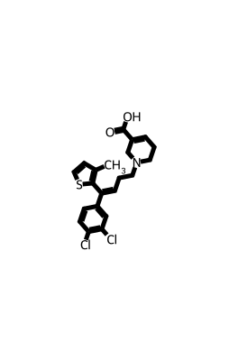 Cc1ccsc1C(=CCCN1CCC=C(C(=O)O)C1)c1ccc(Cl)c(Cl)c1